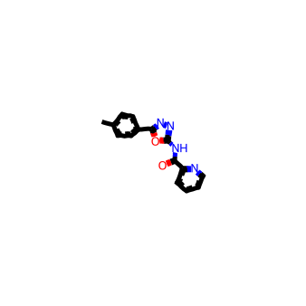 Cc1ccc(-c2nnc(NC(=O)c3ccccn3)o2)cc1